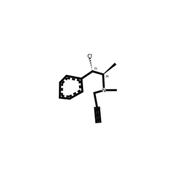 C#CCN(C)[C@H](C)[C@@H](Cl)c1ccccc1